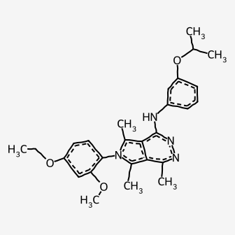 CCOc1ccc(-n2c(C)c3c(C)nnc(Nc4cccc(OC(C)C)c4)c3c2C)c(OC)c1